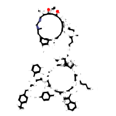 COc1cc2cc(c1Cl)N(C)C(=O)C[C@H](OC(=O)[C@H](C)N(C)C(=O)CCSSC[C@H](NC(=O)[C@@H]1CSSC[C@H](NC(=O)[C@@H](Cc3ccccc3)NC(=O)NCc3ccc(C(F)(F)F)cc3)C(=O)N[C@@H](Cc3ccc(O)cc3)C(=O)N[C@H](Cc3c[nH]c4ccccc34)C(=O)N[C@@H](CCCCN)C(=O)N[C@@H]([C@@H](C)O)C(=O)N1)C(N)=O)[C@]1(C)O[C@H]1[C@H](C)[C@@H]1C[C@@](O)(NC(=O)O1)[C@H](OC)/C=C/C=C(\C)C2